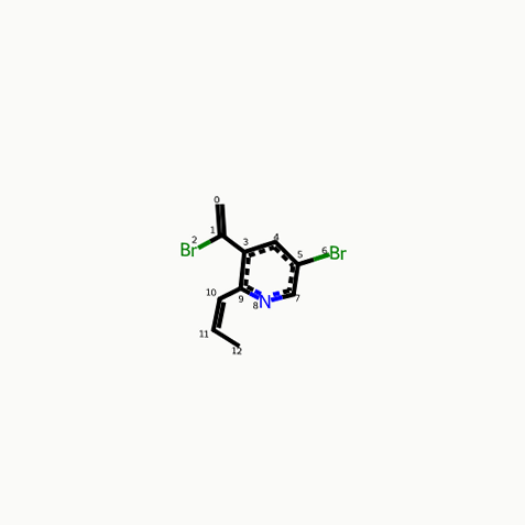 C=C(Br)c1cc(Br)cnc1/C=C\C